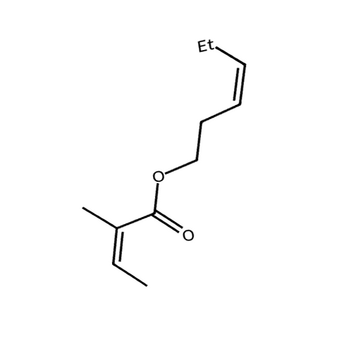 C/C=C(/C)C(=O)OCC/C=C\CC